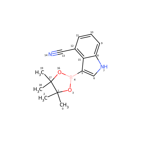 CC1(C)OB(c2c[nH]c3cccc(C#N)c23)OC1(C)C